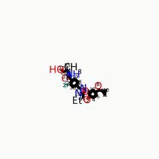 CC[C@@H](Oc1ccc(C(=O)C2CC2)cc1)c1nc(-c2ccc(C(=O)N[C@H](C)CO)c(F)c2)no1